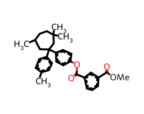 COC(=O)c1cccc(C(=O)Oc2ccc(C3(c4ccc(C)cc4)CC(C)CCC(C)(C)C3)cc2)c1